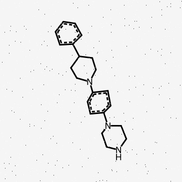 c1ccc(C2CCN(c3ccc(N4CCNCC4)cc3)CC2)cc1